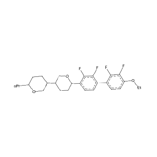 CCCC1CCC(C2CCC(c3ccc(-c4ccc(OCC)c(F)c4F)c(F)c3F)OC2)CO1